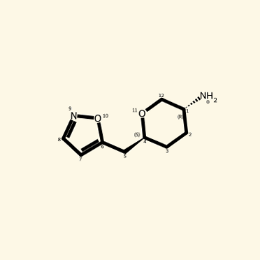 N[C@@H]1CC[C@@H](Cc2ccno2)OC1